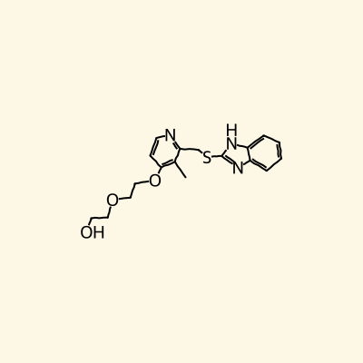 Cc1c(OCCOCCO)ccnc1CSc1nc2ccccc2[nH]1